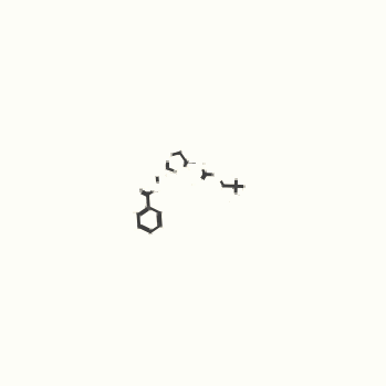 O=C(OCC(Cl)(Cl)Cl)O[C@@H]1CS[C@@H](COC(=O)c2ccccc2)O1